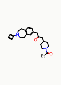 CCC(=O)N1CCC(CC(=O)Cc2ccc3c(c2)CCN(C2=CC=C2)CC3)CC1